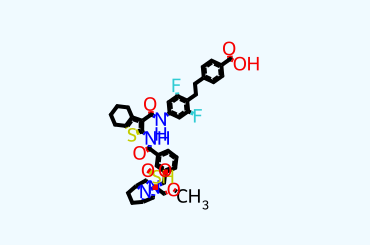 COCC(N1C2CCC1CN(Cc1cccc(C(=O)Nc3sc4c(c3C(=O)Nc3cc(F)c(CCc5ccc(C(=O)O)cc5)c(F)c3)CCCC4)c1)C2)[SH](=O)=O